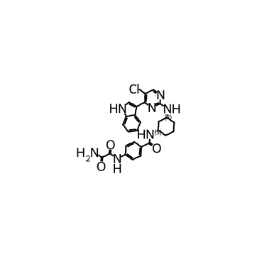 NC(=O)C(=O)Nc1ccc(C(=O)N[C@H]2CCC[C@@H](Nc3ncc(Cl)c(-c4c[nH]c5ccccc45)n3)C2)cc1